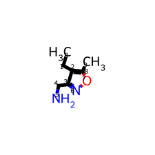 CCc1c(CN)noc1C